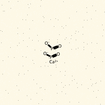 O=P[O-].O=P[O-].[Ca+2]